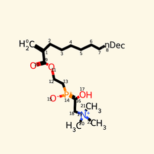 C=C(CCCCCCCCCCCCCCCC)C(=O)OCC[P+]([O-])=C(O)C[N+](C)(C)C